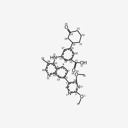 COc1ncc(-c2ccc3c(Nc4cc(C(=O)O)cc(C5CCCC(=O)C5)c4)c(C)cnc3c2)c(OC)n1